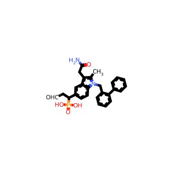 Cc1c(CC(N)=O)c2cc(C(CC=O)P(=O)(O)O)ccc2n1Cc1ccccc1-c1ccccc1